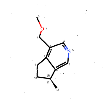 COCc1cncc2c1CC[C@@H]2C